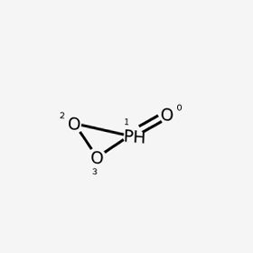 O=[PH]1OO1